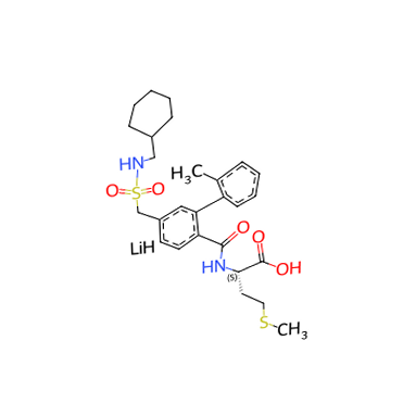 CSCC[C@H](NC(=O)c1ccc(CS(=O)(=O)NCC2CCCCC2)cc1-c1ccccc1C)C(=O)O.[LiH]